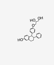 OCC(O)COc1ccc(C2c3ccc(O)cc3CCC2c2ccccc2)cc1